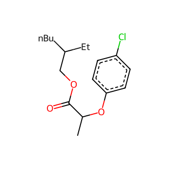 CCCCC(CC)COC(=O)C(C)Oc1ccc(Cl)cc1